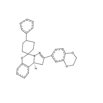 c1ccc(C2CCC3(CC2)Oc2ccccc2[C@@H]2CC(c4ccc5c(c4)OCCO5)=NN23)cc1